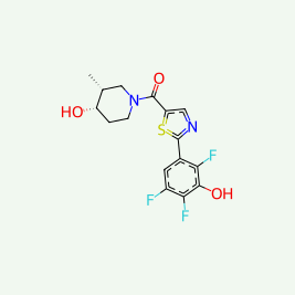 C[C@@H]1CN(C(=O)c2cnc(-c3cc(F)c(F)c(O)c3F)s2)CC[C@@H]1O